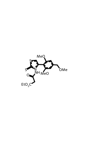 CCOC(=O)CC(=O)Nn1c(-c2c(OC)cc(COC)cc2OC)csc1=S